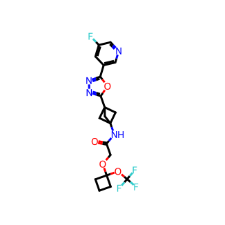 O=C(COC1(OC(F)(F)F)CCC1)NC12CC(c3nnc(-c4cncc(F)c4)o3)(C1)C2